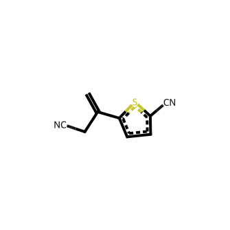 C=C(CC#N)c1ccc(C#N)s1